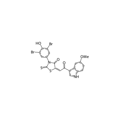 COc1ccc2[nH]cc(C(=O)C=C3SC(=S)N(c4cc(Br)c(O)c(Br)c4)C3=O)c2c1